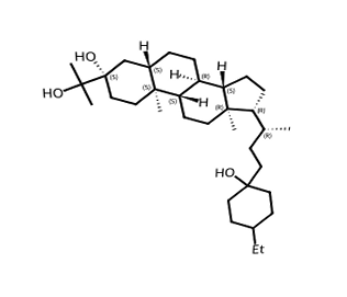 CCC1CCC(O)(CC[C@@H](C)[C@H]2CC[C@H]3[C@@H]4CC[C@H]5C[C@](O)(C(C)(C)O)CC[C@]5(C)[C@H]4CC[C@]23C)CC1